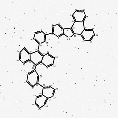 c1cc(-c2ccc3c(c2)sc2c4ccccc4c4ccccc4c32)cc(-c2c3ccccc3c(-c3cccc(-c4cccc5ccccc45)c3)c3ccccc23)c1